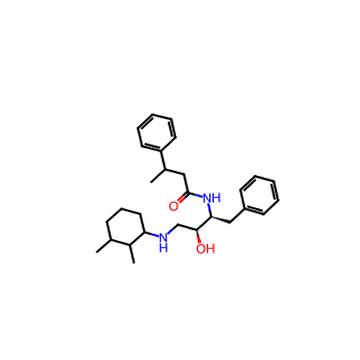 CC(CC(=O)N[C@@H](Cc1ccccc1)[C@@H](O)CNC1CCCC(C)C1C)c1ccccc1